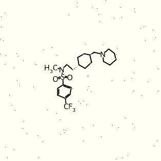 CN(CC[C@H]1CC[C@H](CN2CCCCC2)CC1)S(=O)(=O)c1ccc(C(F)(F)F)cc1